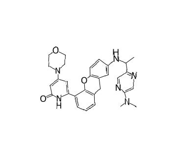 CC(Nc1ccc2c(c1)Cc1cccc(-c3cc(N4CCOCC4)cc(=O)[nH]3)c1O2)c1cnc(N(C)C)cn1